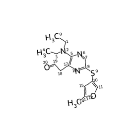 CCN(CC)c1ncc(Sc2coc(C)c2)nc1CC=O